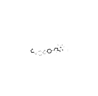 Cn1c(=O)c2[nH]c(-c3ccc(S(=O)(=O)N4CCN(Cc5ccc(Cl)s5)CC4)cc3)cc2n(C)c1=O